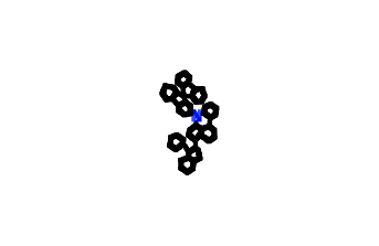 c1ccc(-c2ccccc2N(c2ccc(-c3ccc4ccccc4c3-c3ccccc3)cc2)c2ccc3c(c2)C2(c4ccccc4-c4ccccc42)c2ccccc2-3)cc1